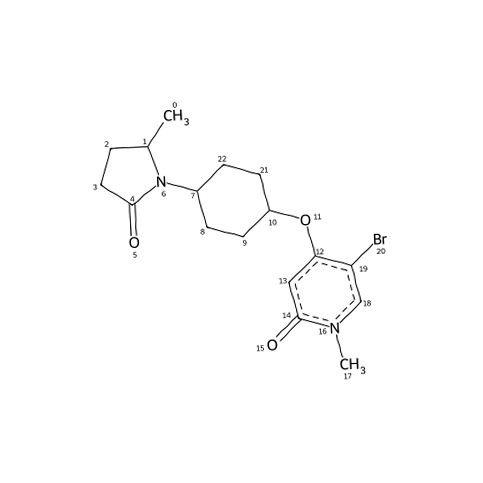 CC1CCC(=O)N1C1CCC(Oc2cc(=O)n(C)cc2Br)CC1